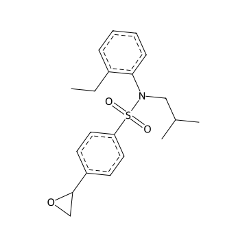 CCc1ccccc1N(CC(C)C)S(=O)(=O)c1ccc(C2CO2)cc1